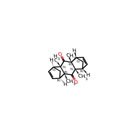 C[C@@]12C(=O)[C@]3(C)[C@H]4C=C[C@H](C4)[C@]3(C)C(=O)[C@]1(C)[C@@H]1C=C[C@H]2C1